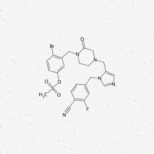 CS(=O)(=O)Oc1ccc(Br)c(CN2CCN(Cc3cncn3Cc3ccc(C#N)c(F)c3)CC2=O)c1